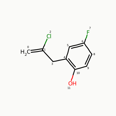 C=C(Cl)Cc1cc(F)ccc1O